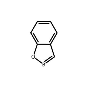 b1cc2ccccc2o1